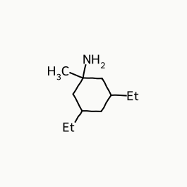 CCC1CC(CC)CC(C)(N)C1